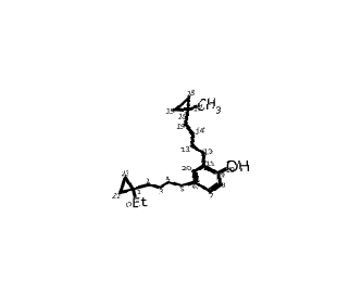 CCC1(CCCCc2ccc(O)c(CCCCC3(C)CC3)c2)CC1